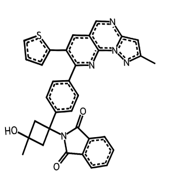 Cc1cc2ncc3cc(-c4cccs4)c(-c4ccc(C5(N6C(=O)c7ccccc7C6=O)CC(C)(O)C5)cc4)nc3n2n1